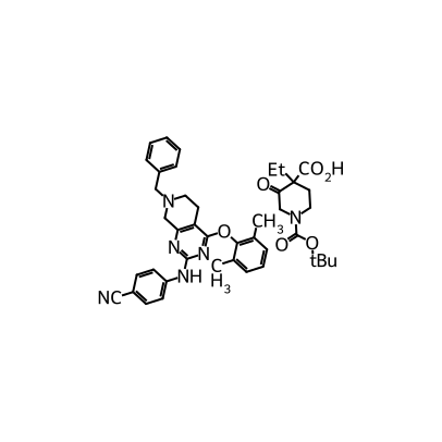 CCC1(C(=O)O)CCN(C(=O)OC(C)(C)C)CC1=O.Cc1cccc(C)c1Oc1nc(Nc2ccc(C#N)cc2)nc2c1CCN(Cc1ccccc1)C2